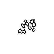 c1ccc(-c2ccc3cccc(-c4c5ccccc5c(-c5cccc(-c6cccc7sc8ccccc8c67)c5)c5ccccc45)c3c2)cc1